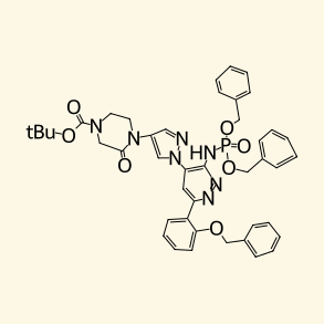 CC(C)(C)OC(=O)N1CCN(c2cnn(-c3cc(-c4ccccc4OCc4ccccc4)nnc3NP(=O)(OCc3ccccc3)OCc3ccccc3)c2)C(=O)C1